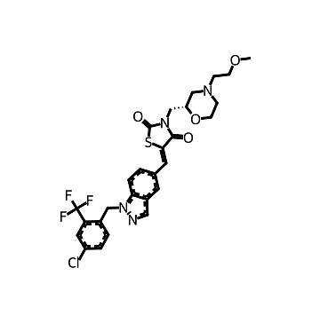 COCCN1CCO[C@H](CN2C(=O)S/C(=C\c3ccc4c(cnn4Cc4ccc(Cl)cc4C(F)(F)F)c3)C2=O)C1